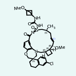 CO[C@H]1/C=C/C[C@H](C)CS(=O)(NC(=O)NC23CC(OC)(C2)C3)=NC(=O)c2ccc3c(c2)N(C[C@@H]2CC[C@H]21)C[C@@]1(CCCc2cc(Cl)ccc21)CO3